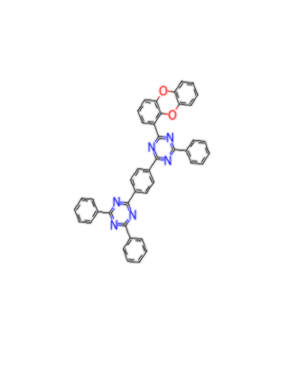 c1ccc(-c2nc(-c3ccccc3)nc(-c3ccc(-c4nc(-c5ccccc5)nc(-c5cccc6c5Oc5ccccc5O6)n4)cc3)n2)cc1